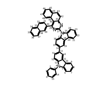 c1ccc(-n2c3ccccc3c3cc(-c4ccc5c(c4)c4ccccc4n5-c4nc(-c5ccc6ccccc6c5)c5c(ccc6ccccc65)n4)ccc32)cc1